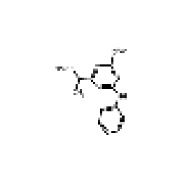 CCCCCC(C)c1nc(NC)nc(Nc2ccccc2)n1